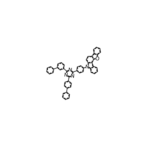 c1ccc(-c2ccc(-c3nc(-c4ccc(-n5c6ccccc6c6c7oc8ccccc8c7ccc65)cc4)nc(-c4cccc(-c5ccccc5)c4)n3)cc2)cc1